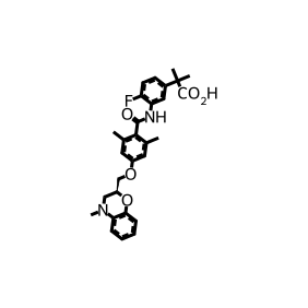 Cc1cc(OC[C@@H]2CN(C)c3ccccc3O2)cc(C)c1C(=O)Nc1cc(C(C)(C)C(=O)O)ccc1F